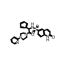 O=C(C(NS(=O)(=O)c1ccc2[nH]c(=O)ccc2c1)c1ccccc1)N1CCN(c2ccccn2)CC1